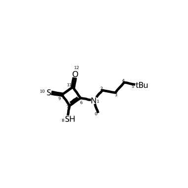 CN(CCCC(C)(C)C)c1c(S)c(=S)c1=O